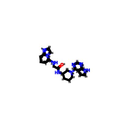 O=C(CNc1cccc2nccn12)NC1CCCN(c2ncnc3[nH]ccc23)C1